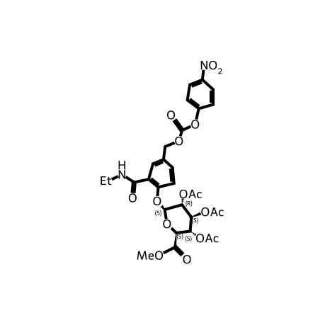 CCNC(=O)c1cc(COC(=O)Oc2ccc([N+](=O)[O-])cc2)ccc1O[C@@H]1O[C@H](C(=O)OC)[C@@H](OC(C)=O)[C@H](OC(C)=O)[C@H]1OC(C)=O